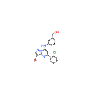 OCc1cccc(Nc2cc(-c3ccccc3Cl)nc3c(Br)cnn23)c1